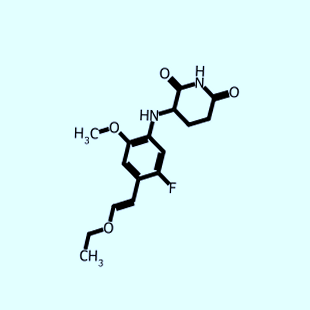 CCO/C=C/c1cc(OC)c(NC2CCC(=O)NC2=O)cc1F